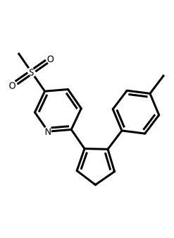 Cc1ccc(C2=CCC=C2c2ccc(S(C)(=O)=O)cn2)cc1